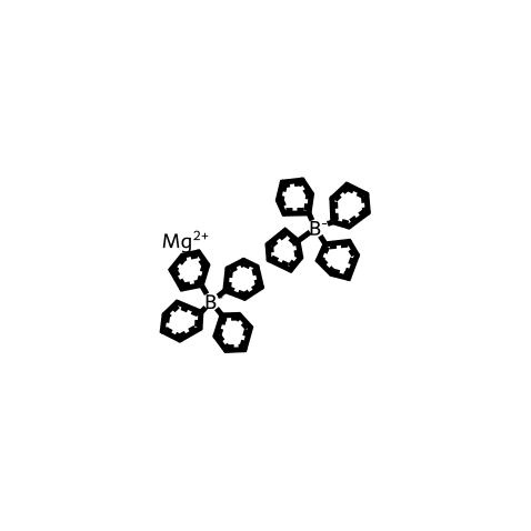 [Mg+2].c1ccc([B-](c2ccccc2)(c2ccccc2)c2ccccc2)cc1.c1ccc([B-](c2ccccc2)(c2ccccc2)c2ccccc2)cc1